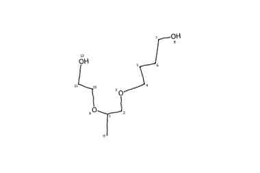 CC(COCCCCO)OCCO